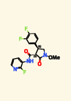 CON1C[C@H](c2ccc(F)c(F)c2)[C@@H](C(=O)Nc2cccnc2F)C1=O